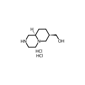 Cl.Cl.OC[C@@H]1CC[C@@H]2CNCCN2C1